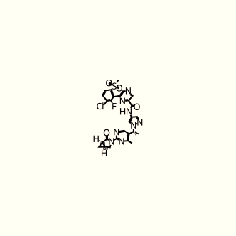 Cc1nc(N2C[C@H]3C[C@H]3C2=O)ncc1[C@H](C)n1cc(NC(=O)c2cncc(-c3c(S(C)(=O)=O)ccc(Cl)c3F)n2)cn1